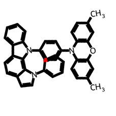 Cc1ccc2c(c1)Oc1cc(C)ccc1N2c1ccc(-n2c3ccccc3c3ccc4ccn(-c5ccccc5)c4c32)cc1